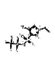 CCn1cc(F)c(S(=O)(=O)N[Si](C)(C)C(C)(C)C)n1